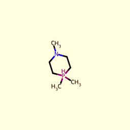 CN1CC[PH](C)(C)CC1